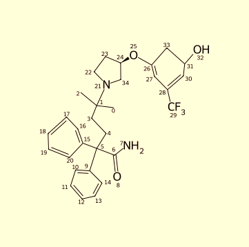 CC(C)(CCC(C(N)=O)(c1ccccc1)c1ccccc1)N1CC[C@@H](OC2=CC(C(F)(F)F)=CC(O)C2)C1